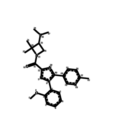 COc1ccccc1-n1nc(C(=O)N2CC(N(C)C)C2(C)C)nc1-c1ccc(C)nc1